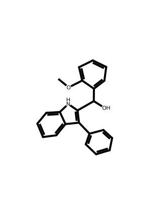 COc1ccccc1C(O)c1[nH]c2ccccc2c1-c1ccccc1